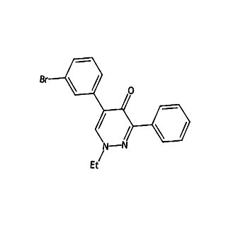 CCn1cc(-c2cccc(Br)c2)c(=O)c(-c2ccccc2)n1